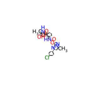 Cc1cc(-c2ccc(Cl)cc2)nc2c(OC(=O)Nc3cccc(S(=O)(=O)NC(C)(C)CO)c3)cnn12